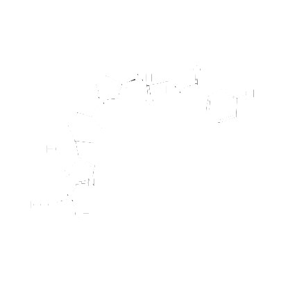 CN(C(=O)O)c1ncc(C2(O)CCC(N3CC[C@@H](NC(=O)CNC(=O)c4cccc(C(F)(F)F)c4)C3)CC2)s1